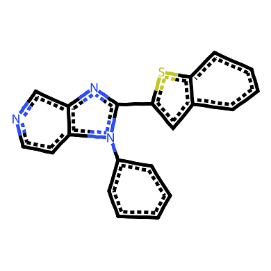 c1ccc(-n2c(-c3cc4ccccc4s3)nc3cnccc32)cc1